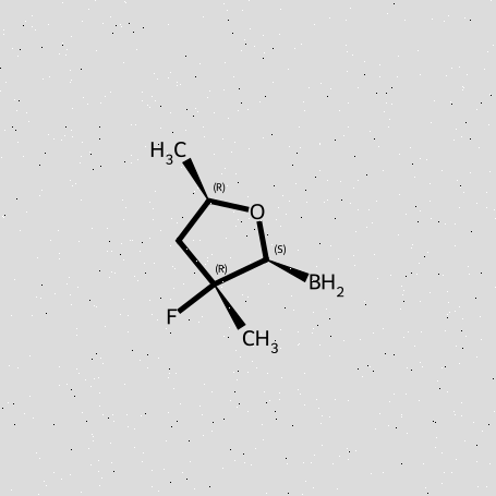 B[C@@H]1O[C@H](C)C[C@@]1(C)F